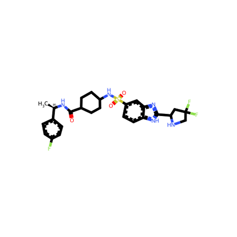 C[C@@H](NC(=O)C1CCC(NS(=O)(=O)c2ccc3[nH]c(C4CC(F)(F)CN4)nc3c2)CC1)c1ccc(F)cc1